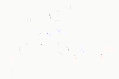 C=C(/C=C(/C(C)c1ccc(Cl)cc1)N(N)Cc1ccc(C(=O)NCCC(=O)O)cc1)c1ccc(OC(F)(F)F)cc1